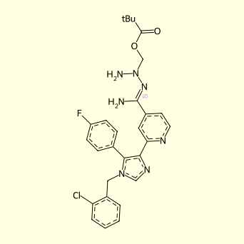 CC(C)(C)C(=O)OCN(N)/N=C(\N)c1ccnc(-c2ncn(Cc3ccccc3Cl)c2-c2ccc(F)cc2)c1